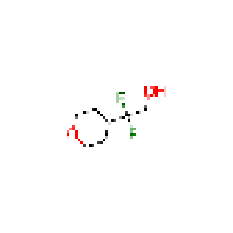 OCC(F)(F)C1CCOCC1